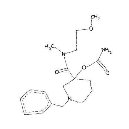 COCCN(C)C(=O)C1(OC(N)=O)CCCN(Cc2ccccc2)C1